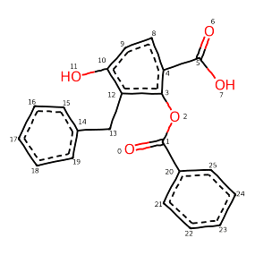 O=C(Oc1c(C(=O)O)ccc(O)c1Cc1ccccc1)c1ccccc1